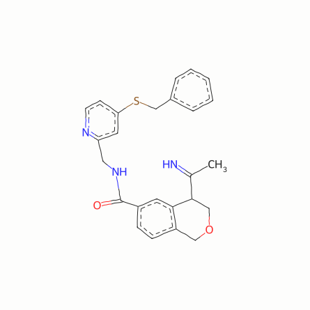 CC(=N)C1COCc2ccc(C(=O)NCc3cc(SCc4ccccc4)ccn3)cc21